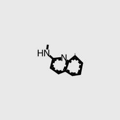 CNc1ccc2ccc[c]c2n1